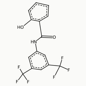 O=C(Nc1cc(C(F)(F)F)cc(C(F)(F)F)c1)c1ccccc1O